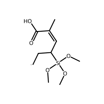 [CH2]CC(C=C(C)C(=O)O)[Si](OC)(OC)OC